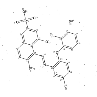 Nc1ccc2cc(S(=O)(=O)O)cc([O-])c2c1N=Nc1cc(Cl)ccc1Oc1ccccc1Cl.[Na+]